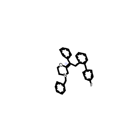 Fc1ccc(-c2ccccc2C/C(=C2\CN(Cc3ccccc3)CCO2)c2ccccc2)cc1